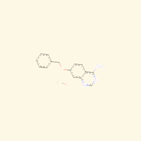 CCO.Nc1ncnc2cc(OCc3ccccc3)ccc12